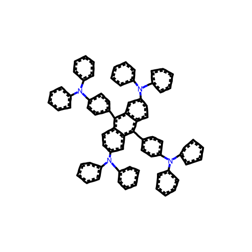 c1ccc(N(c2ccccc2)c2ccc(-c3c4ccc(N(c5ccccc5)c5ccccc5)cc4c(-c4ccc(N(c5ccccc5)c5ccccc5)cc4)c4ccc(N(c5ccccc5)c5ccccc5)cc34)cc2)cc1